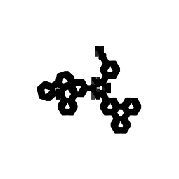 N#Cc1cccc(-c2nc(-c3cccc(-c4ccccc4-n4c5ccccc5c5ccccc54)c3)nc(-c3ccc4c5ccccc5c5ccccc5c4c3)n2)c1